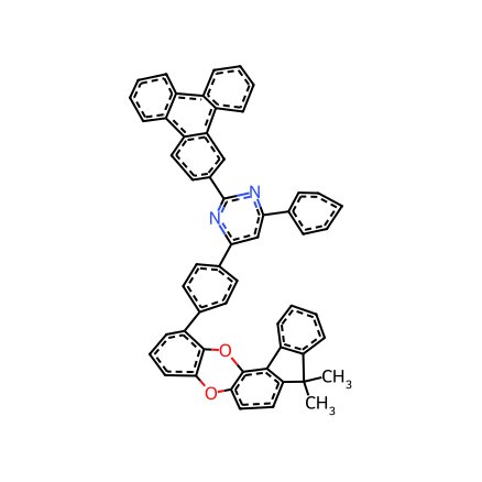 CC1(C)c2ccccc2-c2c1ccc1c2Oc2c(cccc2-c2ccc(-c3cc(-c4ccccc4)nc(-c4ccc5c6ccccc6c6ccccc6c5c4)n3)cc2)O1